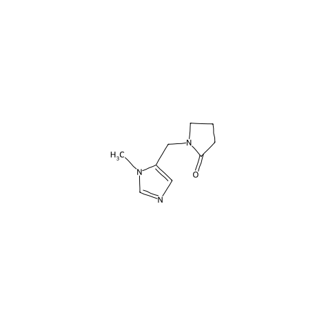 Cn1cncc1CN1CCCC1=O